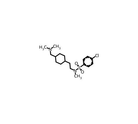 CN(C)CC1CCC(CCN(C)S(=O)(=O)c2ccc(Cl)cc2)CC1